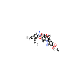 COC(=O)c1ccc([C@H]2Nc3ccc(S(=O)(=O)Nc4ccc(C)c(C)c4)cc3[C@H]3OCC[C@@H]23)cc1